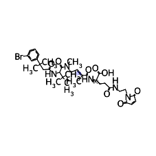 C/C(=C\CN(C)C(=O)C(NC(=O)CC(C)(C)c1cccc(Br)c1)C(C)(C)C)C(=O)N[C@H](CCC(=O)NCCN1C(=O)C=CC1=O)C(=O)O